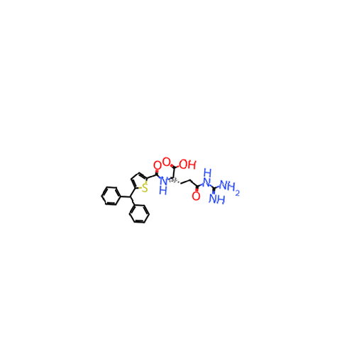 N=C(N)NC(=O)CC[C@H](NC(=O)c1ccc(C(c2ccccc2)c2ccccc2)s1)C(=O)O